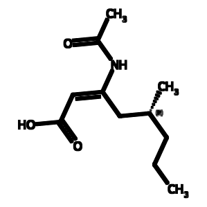 CCC[C@@H](C)CC(=CC(=O)O)NC(C)=O